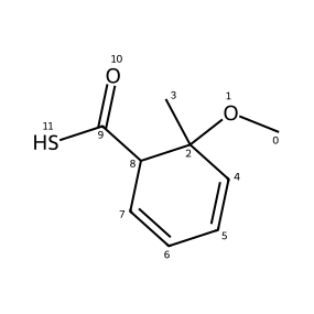 COC1(C)C=CC=CC1C(=O)S